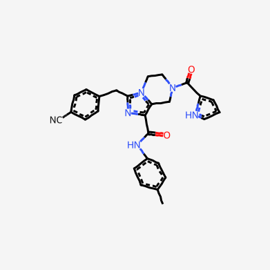 Cc1ccc(NC(=O)c2nc(Cc3ccc(C#N)cc3)n3c2CN(C(=O)c2ccc[nH]2)CC3)cc1